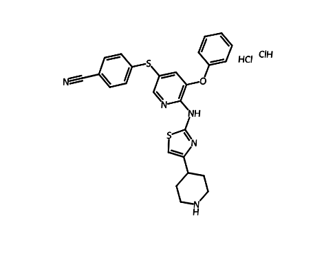 Cl.Cl.N#Cc1ccc(Sc2cnc(Nc3nc(C4CCNCC4)cs3)c(Oc3ccccc3)c2)cc1